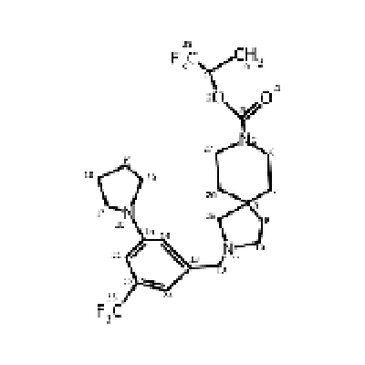 CC(OC(=O)N1CCC2(CCN(Cc3cc(N4CCCC4)cc(C(F)(F)F)c3)C2)CC1)C(F)(F)F